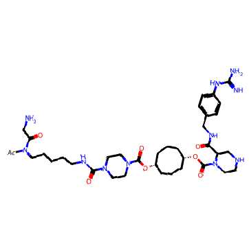 CC(=O)N(CCCCCNC(=O)N1CCN(C(=O)O[C@H]2CCC[C@@H](OC(=O)N3CCNCC3C(=O)NCc3ccc(NC(=N)N)cc3)CCC2)CC1)C(=O)CN